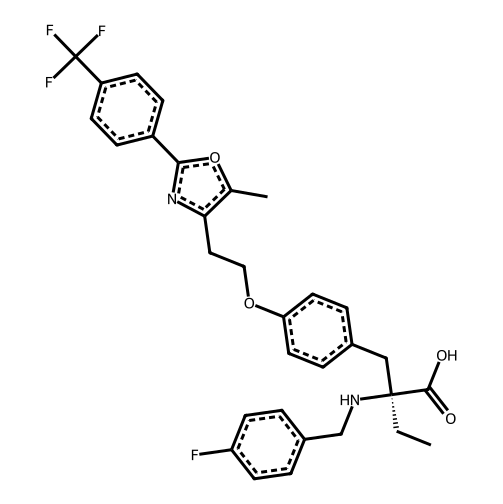 CC[C@@](Cc1ccc(OCCc2nc(-c3ccc(C(F)(F)F)cc3)oc2C)cc1)(NCc1ccc(F)cc1)C(=O)O